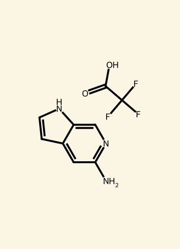 Nc1cc2cc[nH]c2cn1.O=C(O)C(F)(F)F